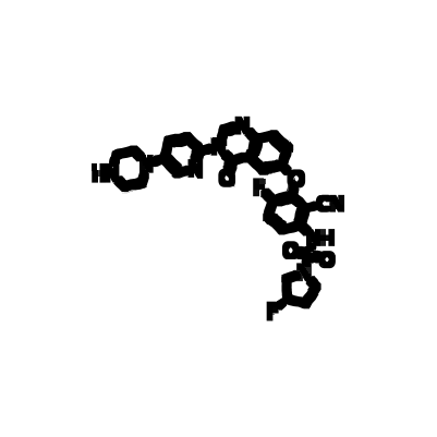 N#Cc1c(NS(=O)(=O)N2CC[C@@H](F)C2)ccc(F)c1Oc1ccc2ncn(-c3ccc(N4CCNCC4)cn3)c(=O)c2c1